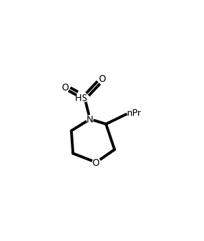 CCCC1COCCN1[SH](=O)=O